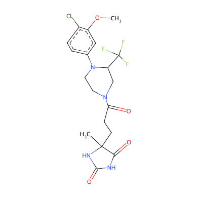 COc1cc(N2CCN(C(=O)CCC3(C)NC(=O)NC3=O)CC2C(F)(F)F)ccc1Cl